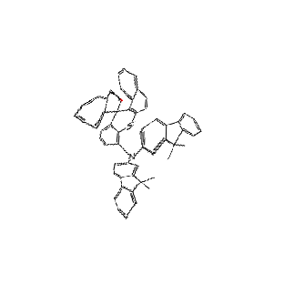 CC1(C)c2ccccc2-c2ccc(N(c3ccc4c(c3)C(C)(C)c3ccccc3-4)c3cccc4c3Sc3ccc5ccccc5c3C43c4ccccc4-c4ccccc43)cc21